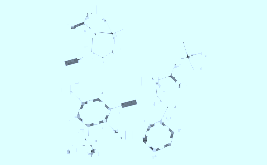 C#C[C@@H]1COC(C)(C)N1C(=O)O.CC(C)(C)OC(=O)N[C@@H](C#Cc1cc(Cl)cc([N+](=O)[O-])c1N)Cc1ccccc1